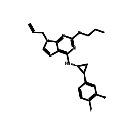 C=CCn1cnc2c(N[C@@H]3C[C@H]3c3ccc(F)c(F)c3)nc(SCCC)nc21